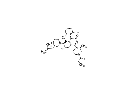 C=CC(=O)N1CCN(c2nc(=O)n(-c3c(CC)cccc3CC)c3nc(N4CCOC(CN(C)C)C4)c(Cl)cc23)C(C)C1